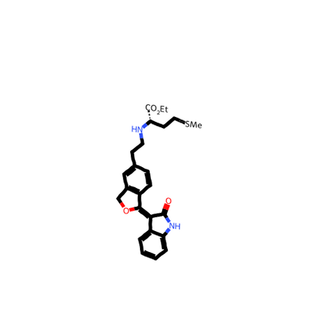 CCOC(=O)[C@H](CCSC)NCCc1ccc2c(c1)COC2=C1C(=O)Nc2ccccc21